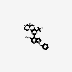 CNc1cnc2c(ccn2Sc2ccccc2)c1-c1nc2c(c(C(C)(C)O)n1)OC[C@@H]1COC[C@@H](C)N21